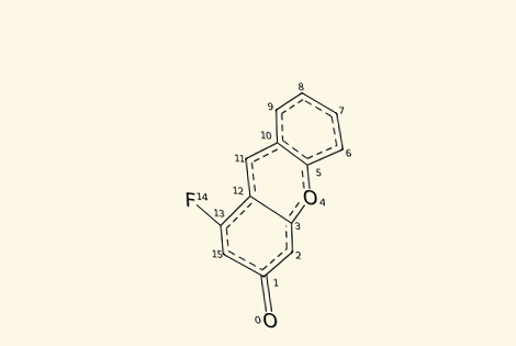 O=c1cc2oc3ccccc3cc-2c(F)c1